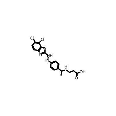 CC(NCCC(=O)O)c1ccc(NNc2nc3ccc(Cl)c(Cl)c3s2)cc1